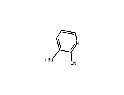 CCCCc1cccnc1C#N